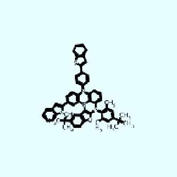 Cc1cc(C(C)(C)C)cc(C)c1N1c2cccc3c2B(c2cc(-c4cc5ccccc5s4)ccc2N3c2ccc(-c3cc4ccccc4s3)cc2)c2c1oc1ccc(C(C)(C)C)cc21